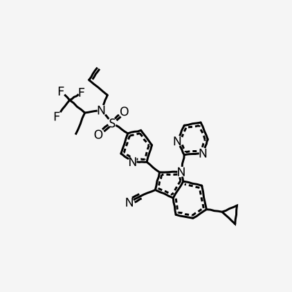 C=CCN(C(C)C(F)(F)F)S(=O)(=O)c1ccc(-c2c(C#N)c3ccc(C4CC4)cc3n2-c2ncccn2)nc1